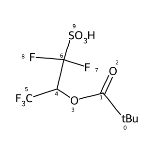 CC(C)(C)C(=O)OC(C(F)(F)F)C(F)(F)S(=O)(=O)O